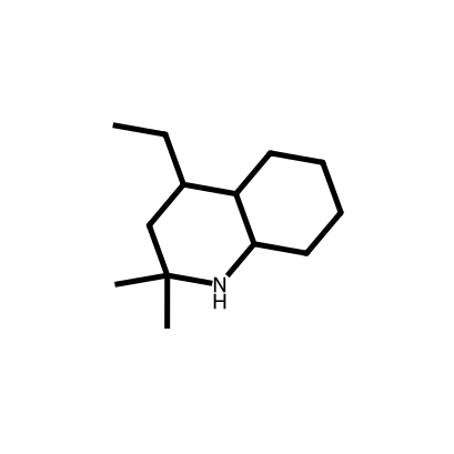 CCC1CC(C)(C)NC2CCCCC12